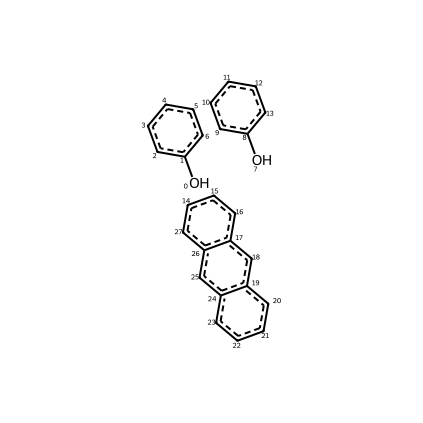 Oc1ccccc1.Oc1ccccc1.c1ccc2cc3ccccc3cc2c1